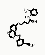 B=C(CCCOc1ccc2ncnc(Nc3cccc(C#C)c3)c2c1)Nc1ccccc1N